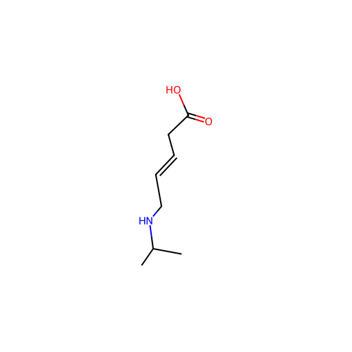 CC(C)NCC=CCC(=O)O